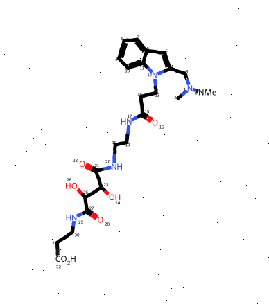 CNN(C)Cc1cc2ccccc2n1CCC(=O)NCCNC(=O)C(O)C(O)C(=O)NCCC(=O)O